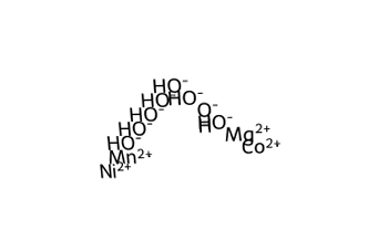 [Co+2].[Mg+2].[Mn+2].[Ni+2].[OH-].[OH-].[OH-].[OH-].[OH-].[OH-].[OH-].[OH-]